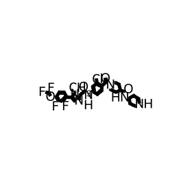 Cn1c(-c2ccc(OC(F)F)c(F)c2F)cnc1C(=O)Nc1ccc(C(=O)N2CCC(C(=O)NC3CCNCC3)CC2)c(Cl)c1